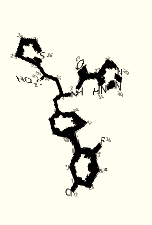 O=C(NC(Cc1ccc(-c2cc(Cl)ccc2F)cc1)C[C@@H](C(=O)O)c1cccs1)c1cnn[nH]1